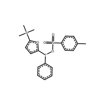 Cc1ccc(S(=O)(=O)O[I+](c2ccccc2)c2ccc([Si](C)(C)C)o2)cc1